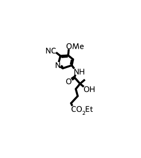 CCOC(=O)CCCC(C)(O)C(=O)Nc1cnc(C#N)c(OC)c1